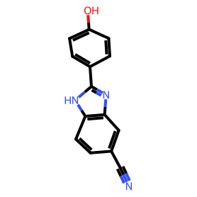 N#Cc1ccc2[nH]c(-c3ccc(O)cc3)nc2c1